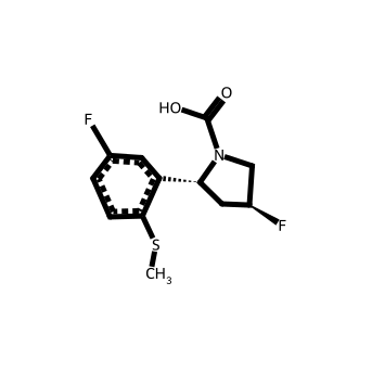 CSc1ccc(F)cc1[C@H]1C[C@H](F)CN1C(=O)O